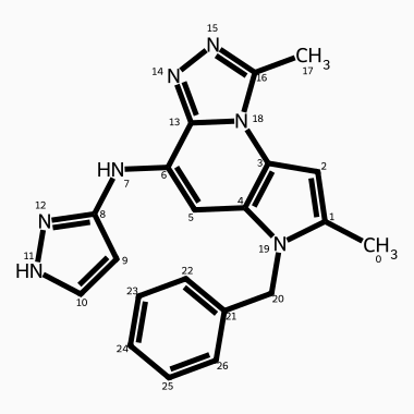 Cc1cc2c(cc(Nc3cc[nH]n3)c3nnc(C)n32)n1Cc1ccccc1